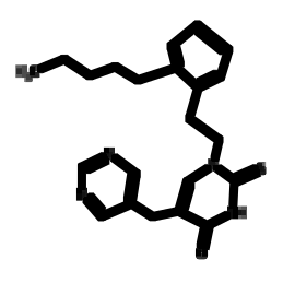 CCCCCc1ccccc1CCn1cc(Cc2cncnc2)c(=O)[nH]c1=S